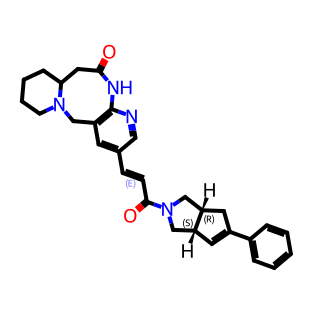 O=C1CC2CCCCN2Cc2cc(/C=C/C(=O)N3C[C@@H]4CC(c5ccccc5)=C[C@@H]4C3)cnc2N1